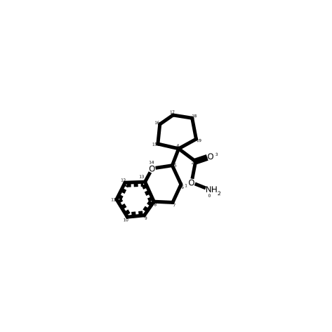 NOC(=O)C1(C2CCc3ccccc3O2)CCCCC1